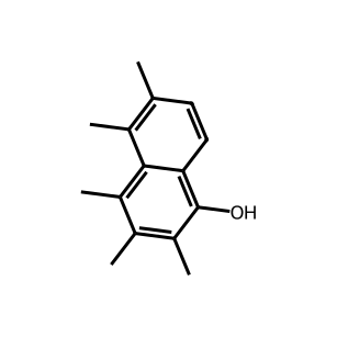 Cc1ccc2c(O)c(C)c(C)c(C)c2c1C